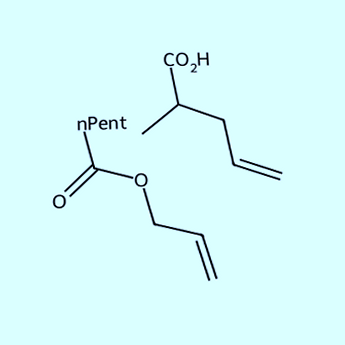 C=CCC(C)C(=O)O.C=CCOC(=O)CCCCC